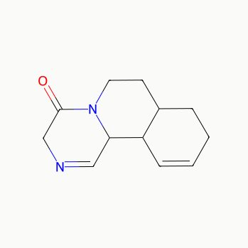 O=C1CN=CC2C3C=CCCC3CCN12